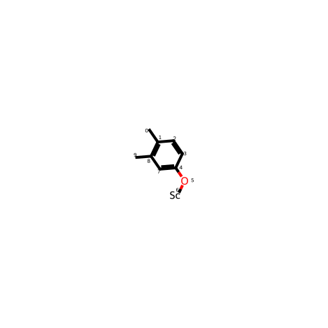 Cc1ccc([O][Sc])cc1C